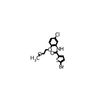 COCCOc1ccc(Cl)cc1NC(=O)c1ccc(Br)s1